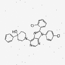 OC1(c2ccccc2)CCN(c2ncnc3c2nc(-c2ccccc2Cl)n3-c2ccc(Cl)cc2)CC1